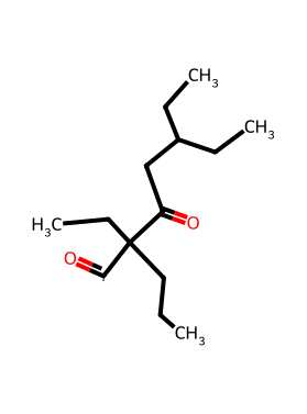 CCCC([C]=O)(CC)C(=O)CC(CC)CC